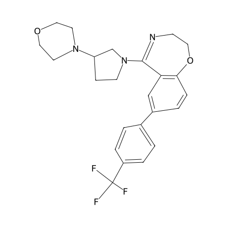 FC(F)(F)c1ccc(-c2ccc3c(c2)C(N2CCC(N4CCOCC4)C2)=NCCO3)cc1